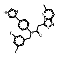 Cc1ccc2nnc(CC(=O)N(Cc3cc(F)cc(Cl)c3)c3ccc(-c4c[nH]cn4)cc3)n2n1